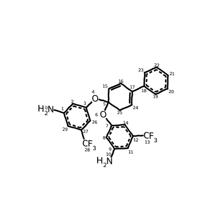 Nc1cc(OC2(Oc3cc(N)cc(C(F)(F)F)c3)C=CC(c3ccccc3)=CC2)cc(C(F)(F)F)c1